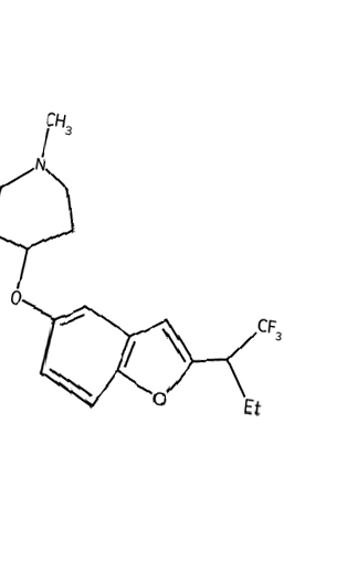 CCC(c1cc2cc(OC3CCN(C)CC3)ccc2o1)C(F)(F)F